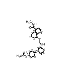 CNC(=O)c1ccnc2c(CCNc3cc(-c4ccc(CC(C)C)nc4)ncn3)cccc12